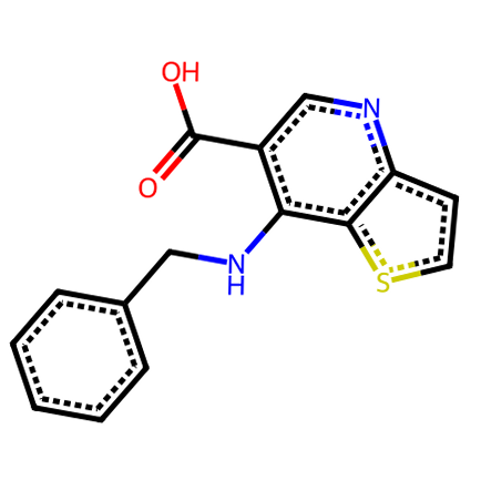 O=C(O)c1cnc2ccsc2c1NCc1ccccc1